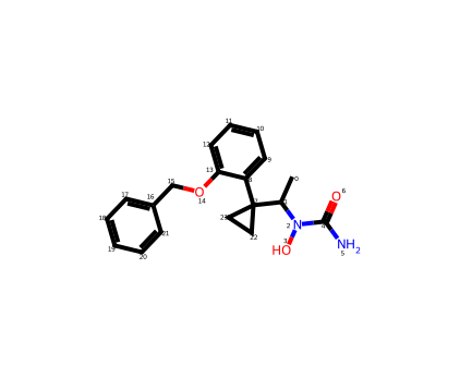 CC(N(O)C(N)=O)C1(c2ccccc2OCc2ccccc2)CC1